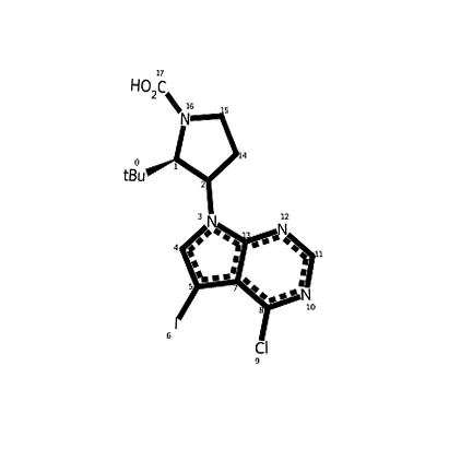 CC(C)(C)[C@@H]1C(n2cc(I)c3c(Cl)ncnc32)CCN1C(=O)O